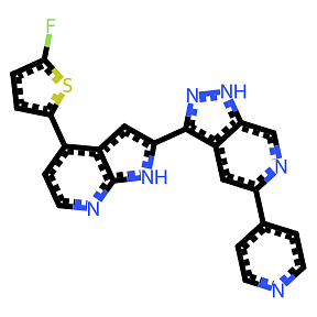 Fc1ccc(-c2ccnc3[nH]c(-c4n[nH]c5cnc(-c6ccncc6)cc45)cc23)s1